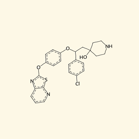 OC1(CC(Oc2ccc(Oc3nc4cccnc4s3)cc2)c2ccc(Cl)cc2)CCNCC1